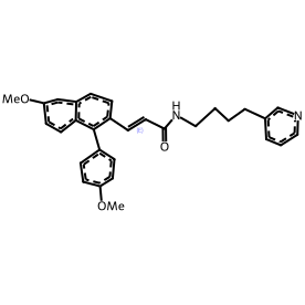 COc1ccc(-c2c(/C=C/C(=O)NCCCCc3cccnc3)ccc3cc(OC)ccc23)cc1